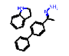 CC(=NN)c1ccc(-c2ccccc2)cc1.c1ccc2c(c1)CCN2